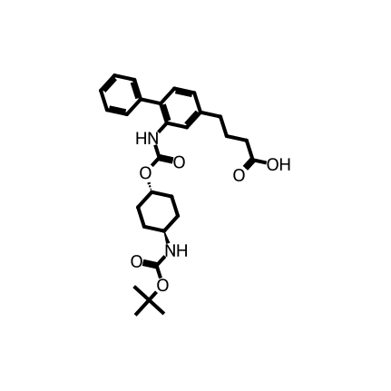 CC(C)(C)OC(=O)N[C@H]1CC[C@H](OC(=O)Nc2cc(CCCC(=O)O)ccc2-c2ccccc2)CC1